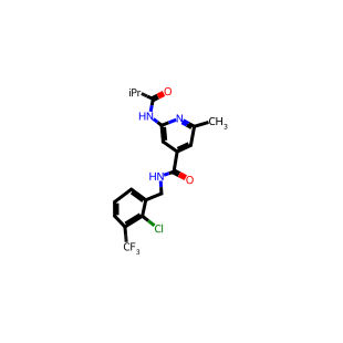 Cc1cc(C(=O)NCc2cccc(C(F)(F)F)c2Cl)cc(NC(=O)C(C)C)n1